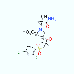 CC(C)(CS(=O)(=O)c1ccc(Cl)cc1Cl)C(=O)[C@@H]1C[C@@H](C(=O)O)N(C2CC2(C#N)C(N)=O)C1